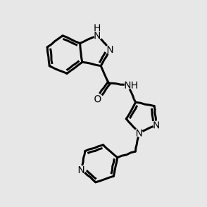 O=C(Nc1cnn(Cc2ccncc2)c1)c1n[nH]c2ccccc12